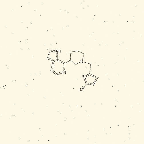 Clc1ccc(CN2CCCC(c3nccc4cc[nH]c34)C2)s1